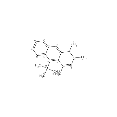 CC1=NC(C)C(C)c2cc3ccccc3c(C(C)(C)C)c21